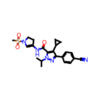 CC(C)n1nc(-c2ccc(C#N)cc2)c(C2CC2)c1C(=O)NC1=CN(S(C)(=O)=O)CC1